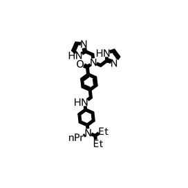 CCCN(C(CC)CC)C1CCC(NCc2ccc(C(=O)N(Cc3ncc[nH]3)Cc3ncc[nH]3)cc2)CC1